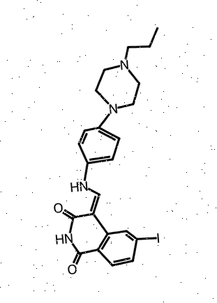 CCCN1CCN(c2ccc(N/C=C3\C(=O)NC(=O)c4ccc(I)cc43)cc2)CC1